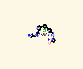 COc1nc(-c2cccc(-c3ccnc(-c4cnn(CC5CNC5)c4)c3Cl)c2Cl)ccc1CNC[C@@H]1CCC(=O)N1